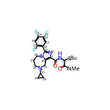 CNC(=O)C(NC(=O)c1nc(-c2cc(F)c(F)cc2F)n2c1CN(C1CC1)CCC2)C(C)(C)C